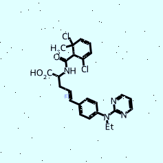 CCN(c1ccc(/C=C/CC(NC(=O)C2C(Cl)=CC=CC2(C)Cl)C(=O)O)cc1)c1ncccn1